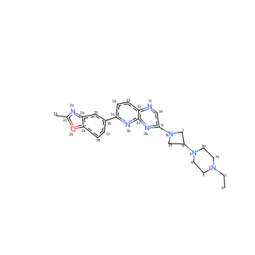 CCN1CCN(C2CN(c3cnc4ccc(-c5ccc6oc(C)nc6c5)nc4n3)C2)CC1